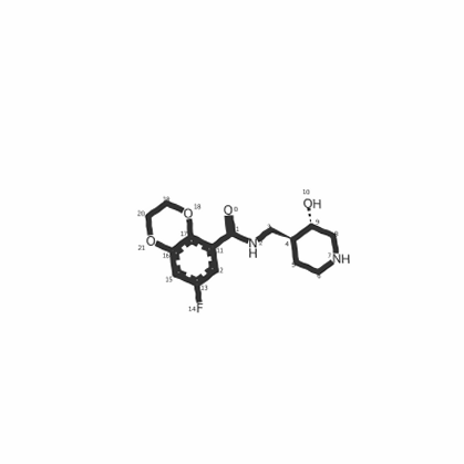 O=C(NC[C@@H]1CCNC[C@H]1O)c1cc(F)cc2c1OCCO2